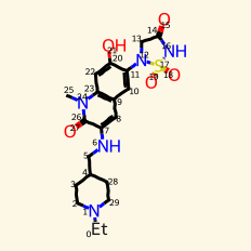 CCN1CCC(CNc2cc3cc(N4CC(=O)NS4(=O)=O)c(O)cc3n(C)c2=O)CC1